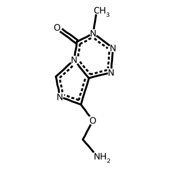 Cn1nnc2c(OCN)ncn2c1=O